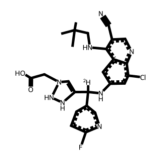 [2H]C(Nc1cc(Cl)c2ncc(C#N)c(NCC(C)(C)C)c2c1)(C1=CN(CC(=O)O)NN1)c1ccc(F)nc1